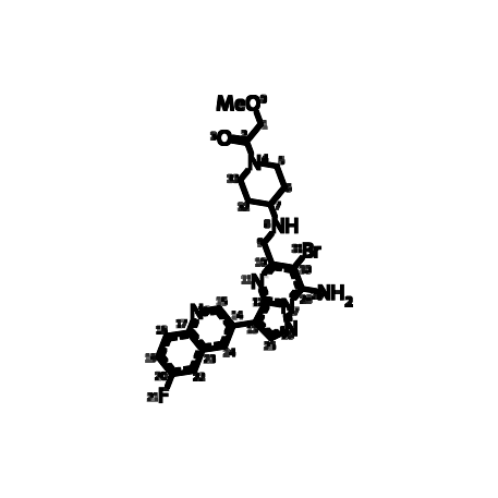 COCC(=O)N1CCC(NCc2nc3c(-c4cnc5ccc(F)cc5c4)cnn3c(N)c2Br)CC1